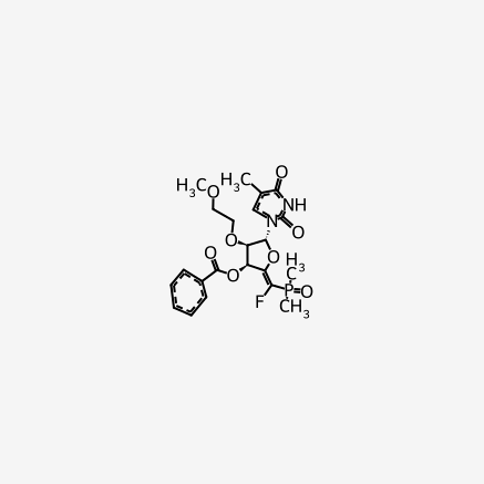 COCCO[C@@H]1[C@H](OC(=O)c2ccccc2)/C(=C(\F)P(C)(C)=O)O[C@H]1n1cc(C)c(=O)[nH]c1=O